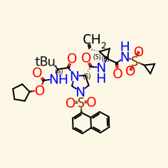 C=C[C@@H]1C[C@]1(NC(=O)[C@@H]1CN(S(=O)(=O)c2cccc3ccccc23)CN1C(=O)[C@@H](NC(=O)OC1CCCC1)C(C)(C)C)C(=O)NS(=O)(=O)C1CC1